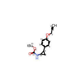 C#CCOc1ccc(C2CC2NC(=O)OC(C)(C)C)cc1